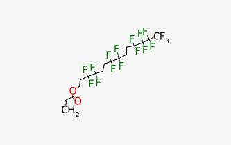 C=CC(=O)OCCC(F)(F)C(F)(F)CCC(F)(F)C(F)(F)CCC(F)(F)C(F)(F)C(F)(F)C(F)(F)F